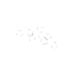 CC1(C)c2ccccc2-c2ccc(-c3cccc(-c4ccc5c(c4)C(C)(C)c4ccccc4-5)c3N(c3ccccn3)c3ccccn3)cc21